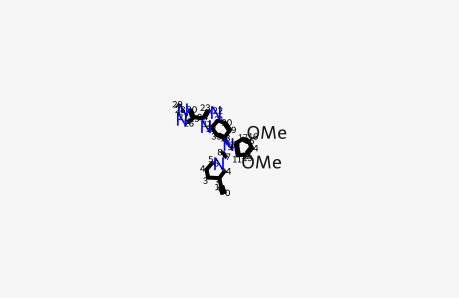 C#CC1CCCN(CCN(c2cc(OC)cc(OC)c2)c2ccc3ncc(-c4cnn(C)c4)nc3c2)C1